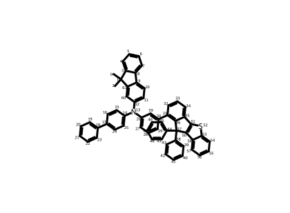 CC1(C)c2ccccc2-c2ccc(N(c3ccc(-c4ccccc4)cc3)c3cccc(-c4cccc5c4C(c4ccccc4)(c4ccccc4)c4c-5sc5ccccc45)c3)cc21